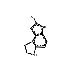 CC(=O)c1cc2c3c(ccc2[nH]1)NCC3